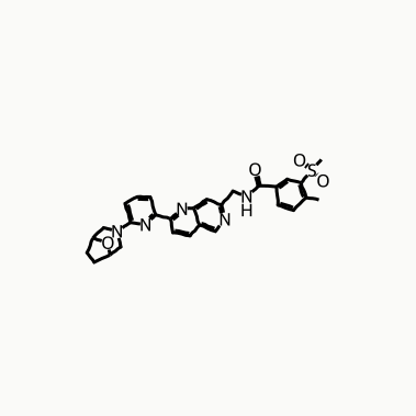 Cc1ccc(C(=O)NCc2cc3nc(-c4cccc(N5CC6CCC(C5)O6)n4)ccc3cn2)cc1S(C)(=O)=O